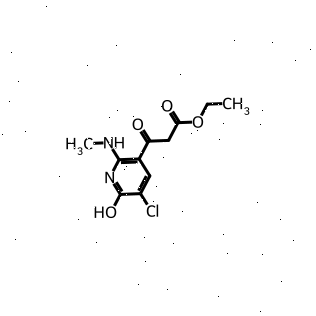 CCOC(=O)CC(=O)c1cc(Cl)c(O)nc1NC